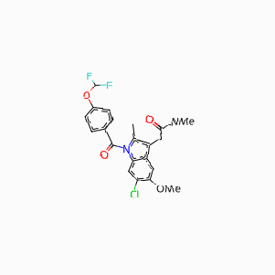 CNC(=O)Cc1c(C)n(C(=O)c2ccc(OC(F)F)cc2)c2cc(Cl)c(OC)cc12